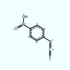 O=[N+](O)c1ccc(N=C=S)cc1